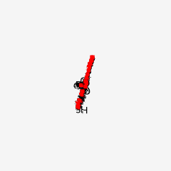 CCCCCCCCCCCCCCC(=O)O[C@H](COP=O)COC(=O)CCCCCCCCCCCS